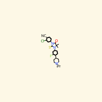 CC(C)N1CCC(c2ccc(N3C(=S)N(c4ccc(C#N)c(Cl)c4)C(=O)C3(C)C)cc2F)CC1